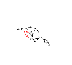 CC[O-].CC[O-].[CH3][Al+][CH3].[CH3][Al+][CH3]